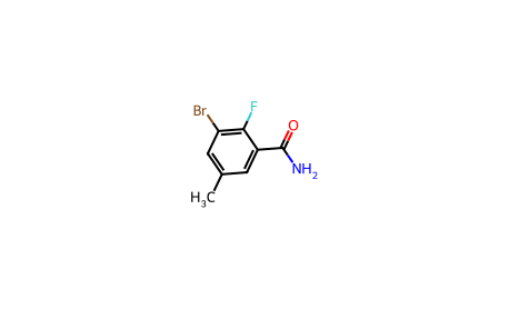 Cc1cc(Br)c(F)c(C(N)=O)c1